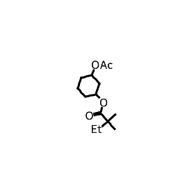 CCC(C)(C)C(=O)OC1CCCC(OC(C)=O)C1